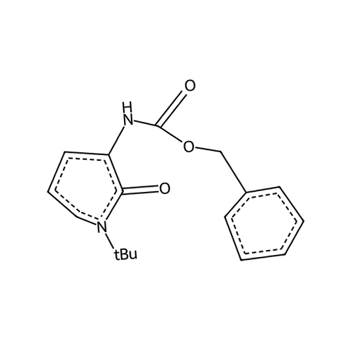 CC(C)(C)n1cccc(NC(=O)OCc2ccccc2)c1=O